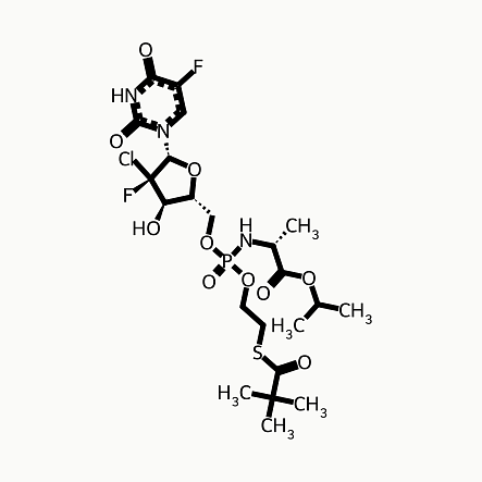 CC(C)OC(=O)[C@@H](C)NP(=O)(OCCSC(=O)C(C)(C)C)OC[C@H]1O[C@@H](n2cc(F)c(=O)[nH]c2=O)[C@@](F)(Cl)[C@@H]1O